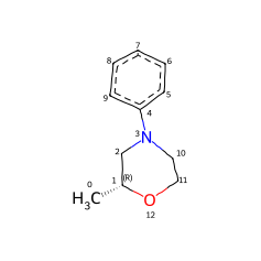 C[C@@H]1CN(c2cc[c]cc2)CCO1